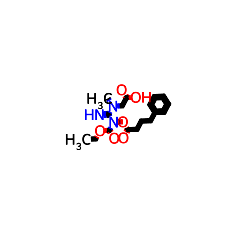 CCOC(=O)N(OC(=O)CCCc1ccccc1)C(=N)N(C)CC(=O)O